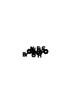 O=C(c1nnc2ccc(Br)cn12)N1C[C@H]2CC(c3ccccc3C(F)(F)F)C[C@H]2C1